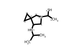 CC(C)NC1CN(C(C)S)CC12CC2